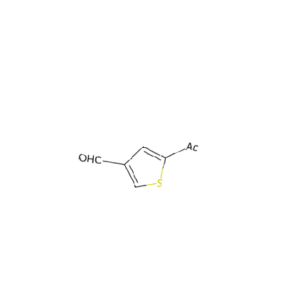 CC(=O)c1cc(C=O)cs1